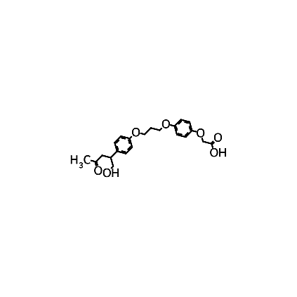 CC(=O)CC(CO)c1ccc(OCCCOc2ccc(OCC(=O)O)cc2)cc1